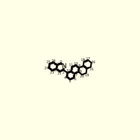 [c]1nc(-c2cccc3c4c(ccc23)C2=C(CCC=C2)CC4)cc2ccccc12